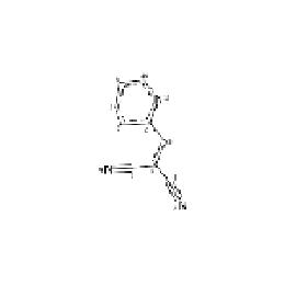 N#CC(C#N)=Cc1ccccn1